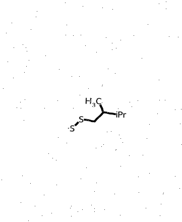 CC(C)C(C)CS[S]